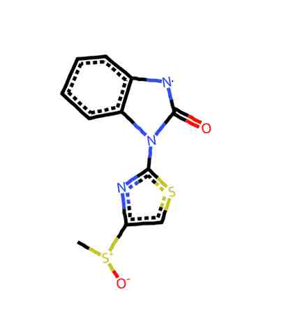 C[S+]([O-])c1csc(N2C(=O)[N]c3ccccc32)n1